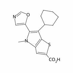 Cn1c(-c2cnco2)c(C2CCCCC2)c2sc(C(=O)O)cc21